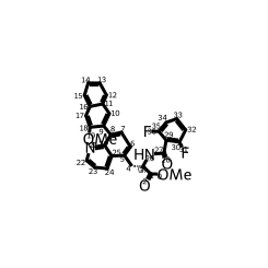 COC(=O)[C@H](Cc1ccc(-c2cc3ccccc3cc2OC)c2ncccc12)NC(=O)c1c(F)cccc1F